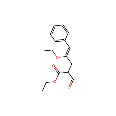 CCOC(=O)C(C=O)CC(=Cc1ccccc1)OCC